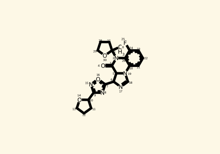 CC1(N2C(=O)C3C(c4nc(C5CCCO5)no4)N=CN3c3cccc(F)c32)CCCO1